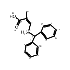 CC(=C[SiH2]C(c1ccccc1)c1ccccc1)C(=O)O